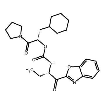 CC[C@H](NC(=O)O[C@@H](CC1CCCCC1)C(=O)N1CCCC1)C(=O)c1nc2ccccc2o1